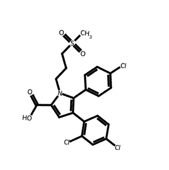 CS(=O)(=O)CCCn1c(C(=O)O)cc(-c2ccc(Cl)cc2Cl)c1-c1ccc(Cl)cc1